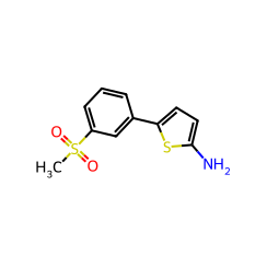 CS(=O)(=O)c1cccc(-c2ccc(N)s2)c1